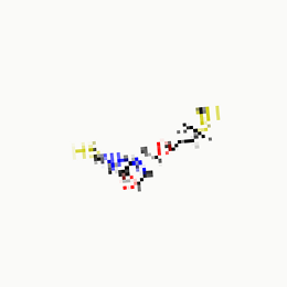 CC(C)(CCCOCCN1CCO[C@H](CNCS)C1)SS